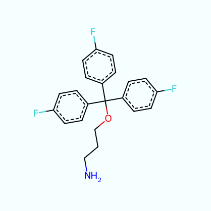 NCCCOC(c1ccc(F)cc1)(c1ccc(F)cc1)c1ccc(F)cc1